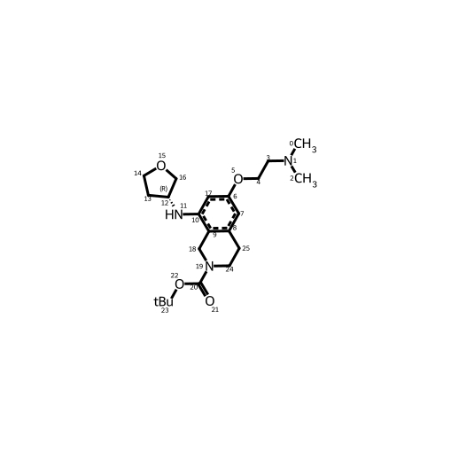 CN(C)CCOc1cc2c(c(N[C@@H]3CCOC3)c1)CN(C(=O)OC(C)(C)C)CC2